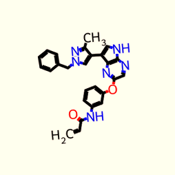 C=CC(=O)Nc1cccc(Oc2cnc3[nH]cc(-c4cn(Cc5ccccc5)nc4C)c3n2)c1